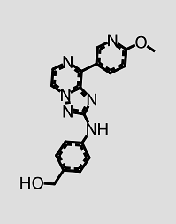 COc1ccc(-c2nccn3nc(Nc4ccc(CO)cc4)nc23)cn1